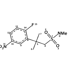 CNS(=O)(=O)CC(C)(C)c1cc([N+](=O)[O-])ccc1F